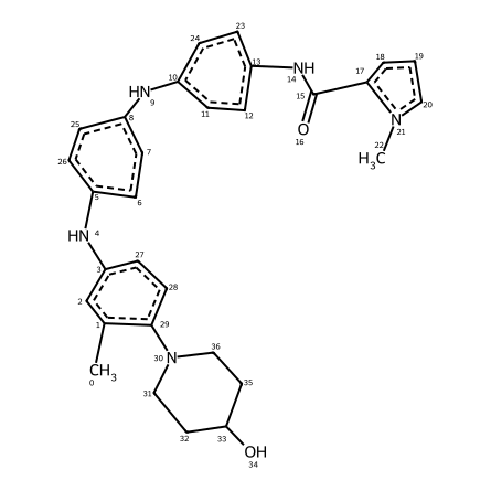 Cc1cc(Nc2ccc(Nc3ccc(NC(=O)c4cccn4C)cc3)cc2)ccc1N1CCC(O)CC1